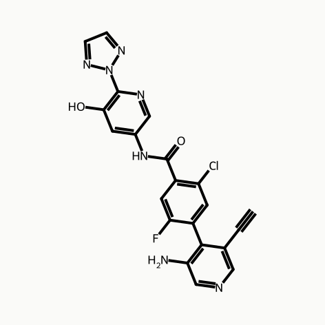 C#Cc1cncc(N)c1-c1cc(Cl)c(C(=O)Nc2cnc(-n3nccn3)c(O)c2)cc1F